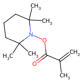 C=C(C)C(=O)ON1C(C)(C)CCCC1(C)C